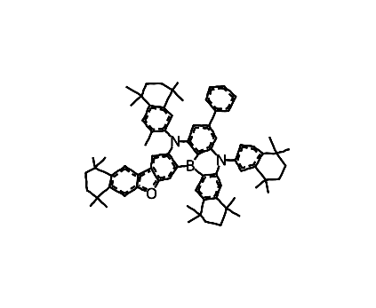 Cc1cc2c(cc1N1c3cc4c(cc3B3c5cc6c(cc5N(c5ccc7c(c5)C(C)(C)CCC7(C)C)c5cc(-c7ccccc7)cc1c53)C(C)(C)CCC6(C)C)oc1cc3c(cc14)C(C)(C)CCC3(C)C)C(C)(C)CCC2(C)C